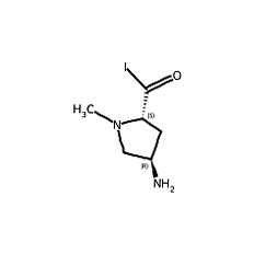 CN1C[C@H](N)C[C@H]1C(=O)I